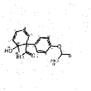 CCC(=O)C1(c2ccc(OC(C)O)cc2)C=CC=CC1(C)O